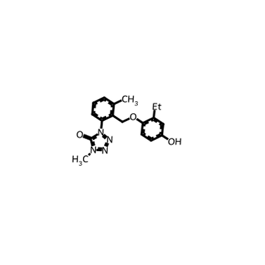 CCc1cc(O)ccc1OCc1c(C)cccc1-n1nnn(C)c1=O